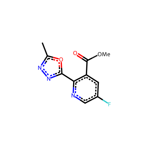 COC(=O)c1cc(F)cnc1-c1nnc(C)o1